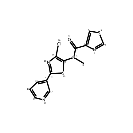 CN(C(=O)c1cscn1)c1sc(-c2cccnc2)nc1Cl